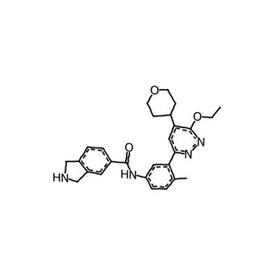 CCOc1nnc(-c2cc(NC(=O)c3ccc4c(c3)CNC4)ccc2C)cc1C1CCOCC1